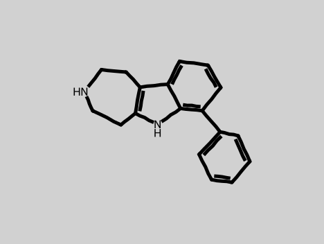 c1ccc(-c2cccc3c4c([nH]c23)CCNCC4)cc1